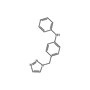 [c]1ccc(Nc2ccc(Cn3ccnn3)cc2)cc1